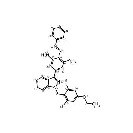 CCOc1cc(F)c(Cn2nc(-c3nc(N)c(/N=N/c4ccccc4)c(N)n3)c3ccccc32)c(F)c1